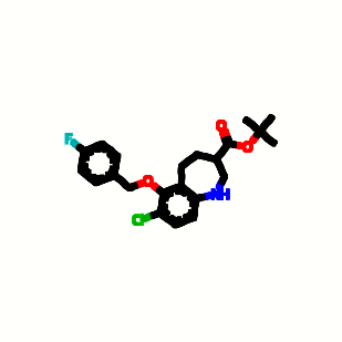 CC(C)(C)OC(=O)C1CCc2c(ccc(Cl)c2OCc2ccc(F)cc2)NC1